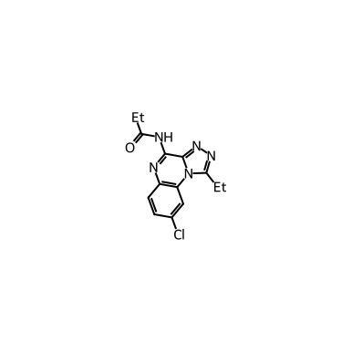 CCC(=O)Nc1nc2ccc(Cl)cc2n2c(CC)nnc12